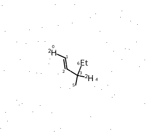 [2H]/C=C/C([2H])(C)CC